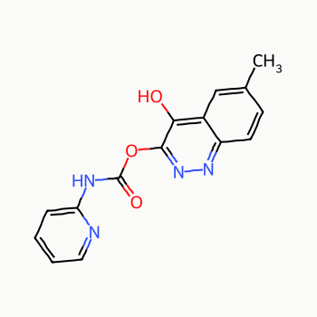 Cc1ccc2nnc(OC(=O)Nc3ccccn3)c(O)c2c1